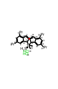 CCC1=Cc2c(C(C)C)cc(C(C)C)cc2[CH]1[Ti]([CH3])([CH3])(=[SiH2])[CH]1C(CC)=Cc2c(C(C)C)cc(C(C)C)cc21.Cl.Cl